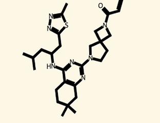 C=CC(=O)N1CC2(CCN(c3nc4c(c(NC(Cc5nnc(C)s5)CC(C)C)n3)CCC(C)(C)C4)C2)C1